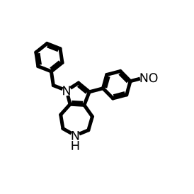 O=Nc1ccc(-c2cn(Cc3ccccc3)c3c2CCNCC3)cc1